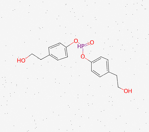 O=[PH](Oc1ccc(CCO)cc1)Oc1ccc(CCO)cc1